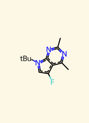 Cc1nc(C)c2c(F)cn(C(C)(C)C)c2n1